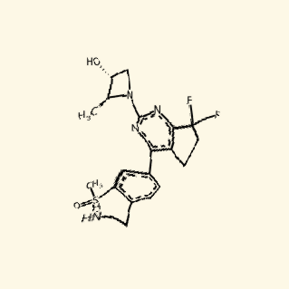 C[C@H]1[C@H](O)CN1c1nc(-c2ccc3c(c2)[SH](C)(=O)NC3)c2c(n1)C(F)(F)CC2